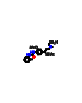 COc1cc(C(CCN(C)CC(=O)O)NC(C)=O)ccc1NC(=O)Nc1ccccc1C